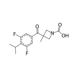 CC(C)c1c(F)cc(C(=O)C2(C)CN(C(=O)O)C2)cc1F